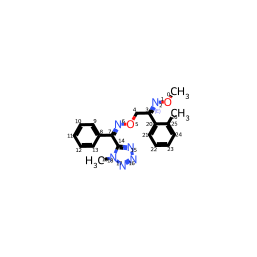 CO/N=C(/CON=C(c1ccccc1)c1nnnn1C)c1ccccc1C